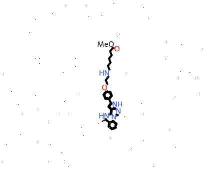 COC(=O)CCCCCCNCCCOc1ccc(-c2cc3c(N[C@H](C)c4ccccc4)ncnc3[nH]2)cc1